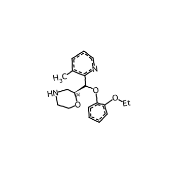 CCOc1ccccc1OC(c1ncccc1C)[C@@H]1CNCCO1